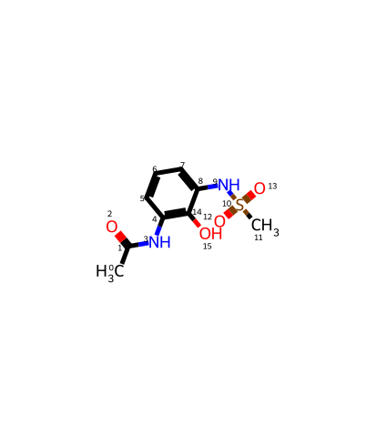 CC(=O)Nc1cccc(NS(C)(=O)=O)c1O